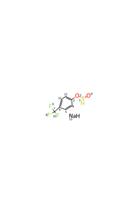 O=[SH]Oc1ccc(C(F)(F)F)cc1.[NaH]